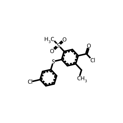 CCc1cc(Sc2cccc(Cl)c2)c(S(C)(=O)=O)cc1C(=O)Cl